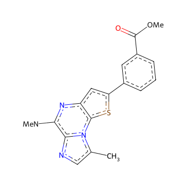 CNc1nc2cc(-c3cccc(C(=O)OC)c3)sc2n2c(C)cnc12